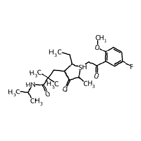 CCC1C(CC(C)(C)C(=O)NC(C)C)C(=O)C(C)[SH]1CC(=O)c1cc(F)ccc1OC